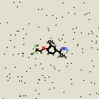 Cc1cc(C(C)N)ccc1OCC(F)F